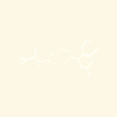 O=C(Nc1cn2cc(-c3cc(F)cc(Cl)c3CO)ccc2n1)C1CC1